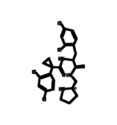 O=C(NC[C@H]1CCCN1)C(Cc1ccc(Cl)cc1Cl)NC(=O)C1(c2ccc(Cl)cc2Cl)CC1